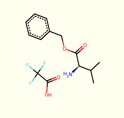 CC(C)[C@@H](N)C(=O)OCc1ccccc1.O=C(O)C(F)(F)F